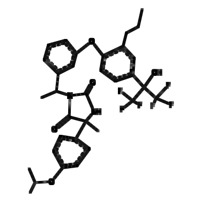 CCCc1cc(C(O)(C(F)(F)F)C(F)(F)F)ccc1Oc1cccc(C(C)N2C(=O)NC(C)(c3ccc(OC(C)C)cc3)C2=O)c1